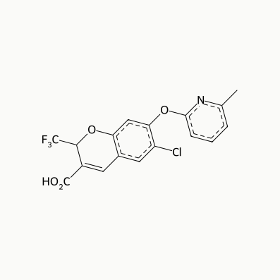 Cc1cccc(Oc2cc3c(cc2Cl)C=C(C(=O)O)C(C(F)(F)F)O3)n1